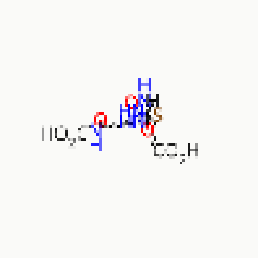 O=C(O)CCCC[C@]1(C(=O)NCCCCCC(=O)NCC(=O)O)SC[C@@H]2NC(=O)N[C@@H]21